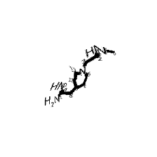 CNCCN1CCC(CC(=N)N)CC1